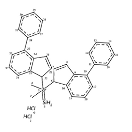 Cl.Cl.[CH3][Zr]([CH3])(=[SiH2])([CH]1C=Cc2c(-c3ccccc3)cccc21)[CH]1C=Cc2c(-c3ccccc3)cccc21